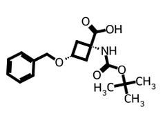 CC(C)(C)OC(=O)N[C@]1(C(=O)O)C[C@H](OCc2ccccc2)C1